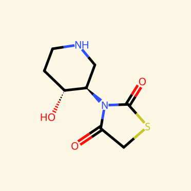 O=C1CSC(=O)N1[C@@H]1CNCC[C@H]1O